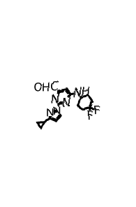 O=Cc1cc(NC2CCC(F)(F)CC2)nc(-n2ccc(C3CC3)n2)n1